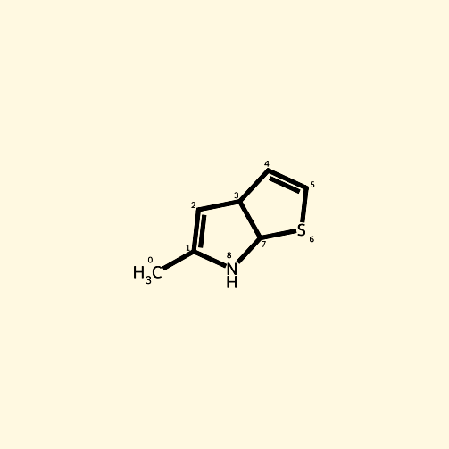 CC1=CC2C=CSC2N1